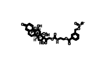 C[C@]12C=CC(=O)C=C1CC[C@H]1[C@@H]3C[C@@H](O)[C@](O)(C(=O)COC(=O)NCCOC(=O)c4cccc(CO[N+](=O)[O-])c4)[C@@]3(C)C[C@H](O)[C@@]12F